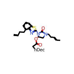 C=CCCc1cccc2sc(N3C(=O)N(CCC=CC)CC3OC(=O)CCCCCCCCCCC)nc12